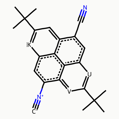 [C-]#[N+]c1c[c]2c3c(c(C#N)c[c]4c3[c]1=[V][C](C(C)(C)C)=[U]4)=C[C](C(C)(C)C)=[K]2